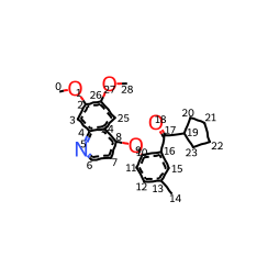 COc1cc2nccc(Oc3ccc(C)cc3C(=O)C3CCCC3)c2cc1OC